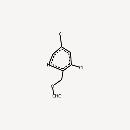 O=COCc1ncc(Cl)cc1Cl